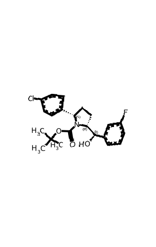 CC(C)(C)OC(=O)N1[C@@H]([C@H](O)c2cccc(F)c2)CC[C@H]1c1ccc(Cl)cc1